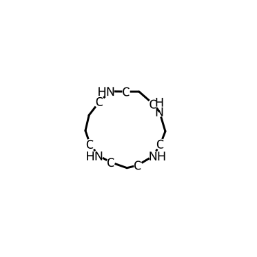 C1CCNCCCNCCNCCCNC1